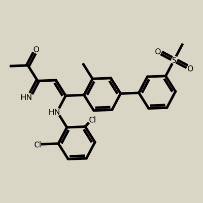 CC(=O)C(=N)/C=C(\Nc1c(Cl)cccc1Cl)c1ccc(-c2cccc(S(C)(=O)=O)c2)cc1C